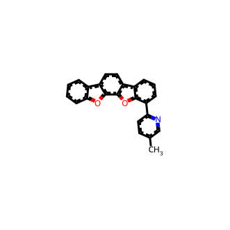 Cc1ccc(-c2cccc3c2oc2c3ccc3c4ccccc4oc32)nc1